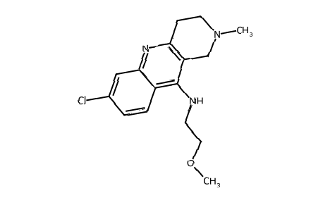 COCCNc1c2c(nc3cc(Cl)ccc13)CCN(C)C2